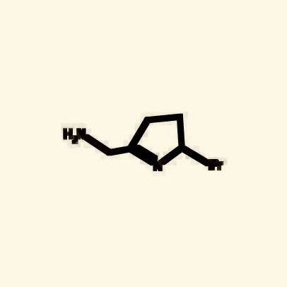 CC(C)C1CCC(CN)=N1